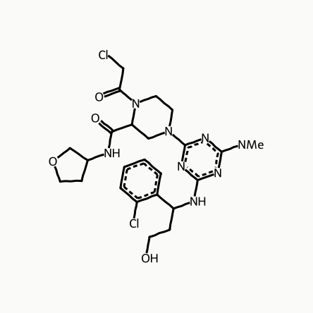 CNc1nc(NC(CCO)c2ccccc2Cl)nc(N2CCN(C(=O)CCl)C(C(=O)NC3CCOC3)C2)n1